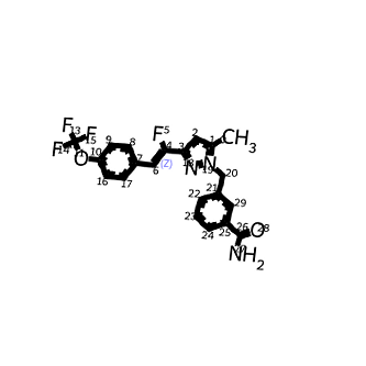 Cc1cc(/C(F)=C/c2ccc(OC(F)(F)F)cc2)nn1Cc1cccc(C(N)=O)c1